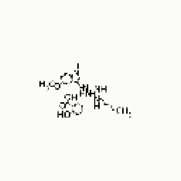 CCCCCNC(=N)N/N=C/c1c[nH]c2ccc(OC)cc12.O=C(O)c1ccccc1O